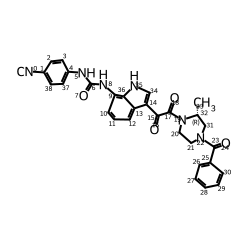 [C-]#[N+]c1ccc(NC(=O)Nc2cccc3c(C(=O)C(=O)N4CCN(C(=O)c5ccccc5)C[C@H]4C)c[nH]c23)cc1